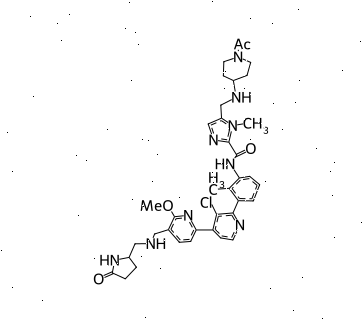 COc1nc(-c2ccnc(-c3cccc(NC(=O)c4ncc(CNC5CCN(C(C)=O)CC5)n4C)c3C)c2Cl)ccc1CNCC1CCC(=O)N1